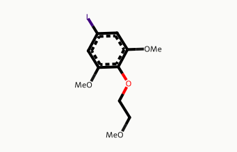 COCCOc1c(OC)cc(I)cc1OC